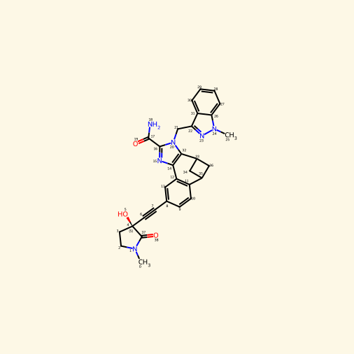 CN1CC[C@](O)(C#Cc2ccc3c(c2)-c2nc(C(N)=O)n(Cc4nn(C)c5ccccc45)c2C2CC3C2)C1=O